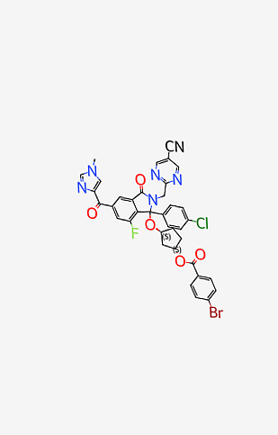 Cn1cnc(C(=O)c2cc(F)c3c(c2)C(=O)N(Cc2ncc(C#N)cn2)C3(O[C@H]2CC[C@H](OC(=O)c3ccc(Br)cc3)C2)c2ccc(Cl)cc2)c1